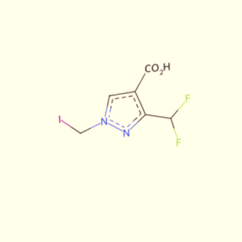 O=C(O)c1cn(CI)nc1C(F)F